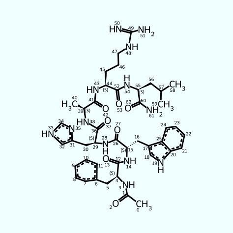 CC(=O)N[C@@H](Cc1ccccc1)C(=O)N[C@@H](Cc1c[nH]c2ccccc12)C(=O)N[C@@H](Cc1c[nH]cn1)C(=O)N[C@@H](C)C(=O)N[C@@H](CCCNC(=N)N)C(=O)N[C@@H](CC(C)C)C(N)=O